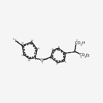 CCOC(=O)C(C(=O)O)c1ccc(Oc2ccc(I)cc2)cc1